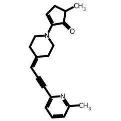 Cc1cccc(C#CC=C2CCN(C3=CCC(C)C3=O)CC2)n1